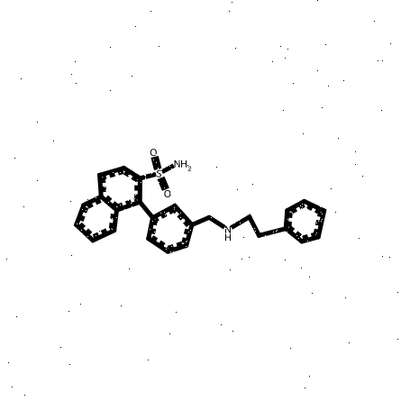 NS(=O)(=O)c1ccc2ccccc2c1-c1cccc(CNCCc2ccccc2)c1